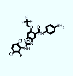 Bc1ccc(NC(=O)c2cc3nc(Nc4c(Cl)ccc(Cl)c4F)[nH]c3cc2OCC(F)(F)F)cc1